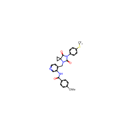 COc1ccc(C(=O)Nc2cnccc2CN2C(=O)N(c3ccc(SC(F)(F)F)cc3)C(=O)C23CC3)cc1